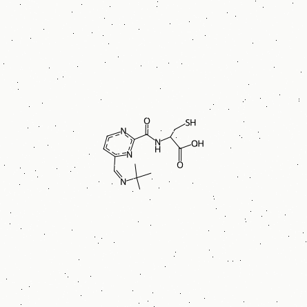 CC(C)(C)/N=C\c1ccnc(C(=O)NC(CS)C(=O)O)n1